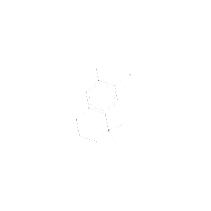 CC1(C)NCCc2cc(O)c(O)cc21